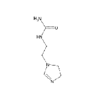 NC(=O)NCCN1C=NCC1